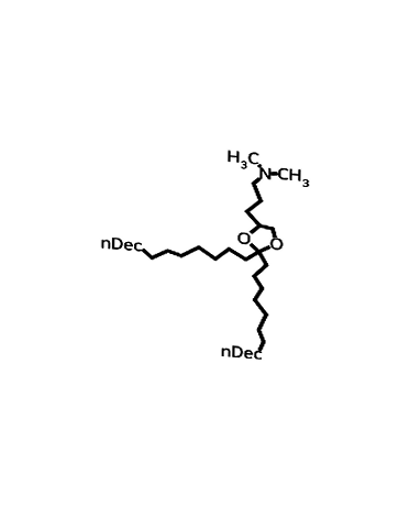 CCCCCCCCCCCCCCCCCC1(CCCCCCCCCCCCCCCCC)OCC(CCCN(C)C)O1